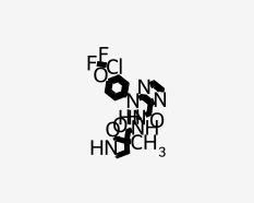 CC1(C(=O)NNC(=O)c2nccnc2Nc2ccc(OC(F)(F)Cl)cc2)CCNC1=O